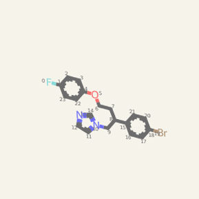 Fc1ccc(OCCC(Cn2ccnc2)c2ccc(Br)cc2)cc1